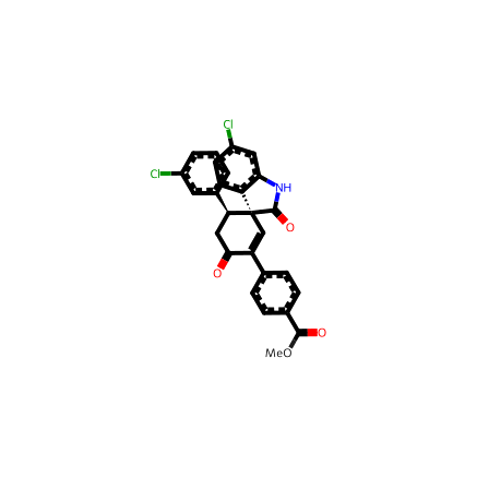 COC(=O)c1ccc(C2=C[C@]3(C(=O)Nc4cc(Cl)ccc43)[C@H](c3cccc(Cl)c3)CC2=O)cc1